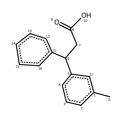 Cc1cccc(C(CC(=O)O)c2ccccc2)c1